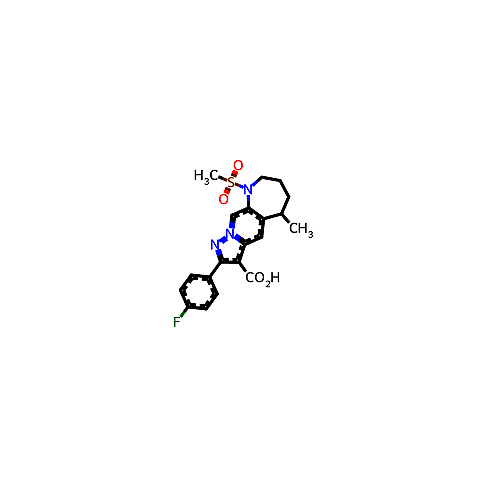 CC1CCCN(S(C)(=O)=O)c2cn3nc(-c4ccc(F)cc4)c(C(=O)O)c3cc21